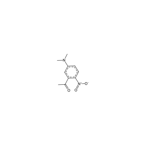 CC(=O)c1cc(N(C)C)ccc1[N+](=O)[O-]